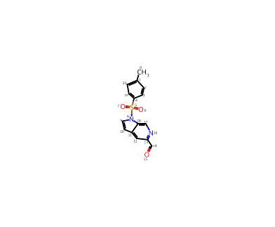 Cc1ccc(S(=O)(=O)n2ccc3cc(C=O)ncc32)cc1